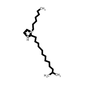 CCCCCCC[n+]1cc[nH]c1CCCCCCCCCCCC(C)C